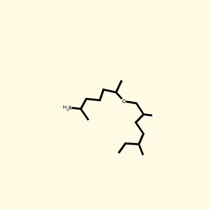 BC(C)CCCC(C)OCC(C)CCC(C)CC